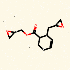 O=C(OCC1CO1)C1CCC=CC1CC1CO1